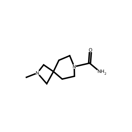 CN1CC2(CCN(C(N)=O)CC2)C1